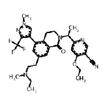 CCOc1cc(C(C)N2CCc3c(cc(CCN(C)CC)cc3-c3cn(C)nc3C(F)(F)F)C2=O)ncc1C#N